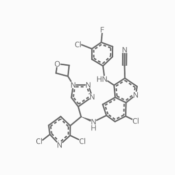 N#Cc1cnc2c(Cl)cc(N[C@H](c3cn(C4COC4)nn3)c3ccc(Cl)nc3Cl)cc2c1Nc1ccc(F)c(Cl)c1